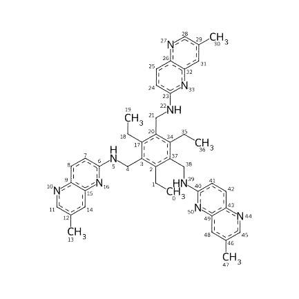 CCc1c(CNc2ccc3ncc(C)cc3n2)c(CC)c(CNc2ccc3ncc(C)cc3n2)c(CC)c1CNc1ccc2ncc(C)cc2n1